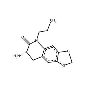 CCCN1C(=O)[C@@H](N)Cc2cc3c(cc21)OCO3